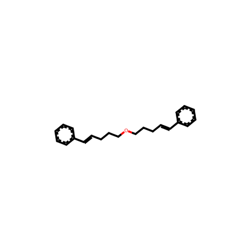 C(=Cc1ccccc1)CCCOCCCC=Cc1ccccc1